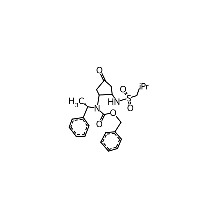 CC(C)CS(=O)(=O)NC1CC(=O)CC1N(C(=O)OCc1ccccc1)[C@H](C)c1ccccc1